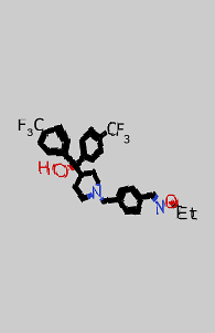 CCON=Cc1ccc(CN2CCC(C(O)(c3ccc(C(F)(F)F)cc3)c3ccc(C(F)(F)F)cc3)CC2)cc1